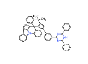 CC1(C)c2ccccc2C2(c3ccccc3-n3c4ccccc4c4cccc2c43)c2cc(-c3cccc(C4=NC(c5ccccc5)NC(c5ccccc5)=N4)c3)ccc21